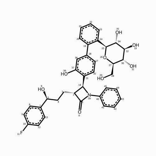 O=C1[C@H](CC[C@H](O)c2ccc(F)cc2)[C@@H](c2ccc(-c3ccccc3[C@@H]3O[C@H](CO)[C@@H](O)[C@H](O)[C@H]3O)cc2O)N1c1ccccc1